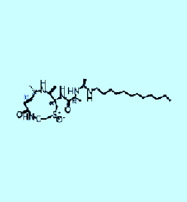 C=C(NCCCCCCCCCCCC)N[C@@H](C)C(=O)N[C@H]1C[S+]([O-])CCNC(=O)/C=C/[C@H](C)NC1=C